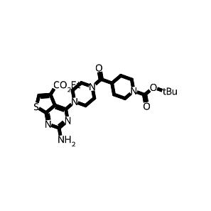 CCOC(=O)c1csc2nc(N)nc(N3CCN(C(=O)C4CCN(C(=O)OC(C)(C)C)CC4)CC3)c12